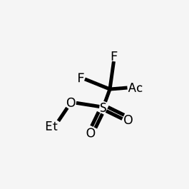 CCOS(=O)(=O)C(F)(F)C(C)=O